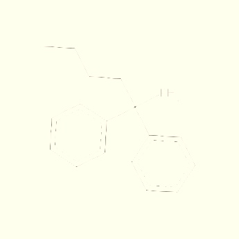 CCCCC(P)(c1ccccc1)c1ccccc1